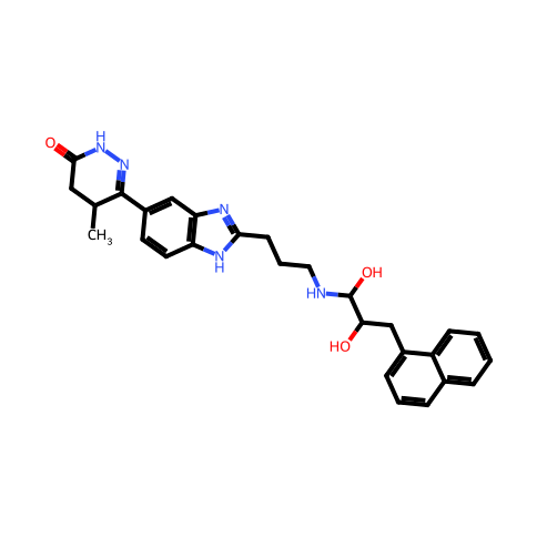 CC1CC(=O)NN=C1c1ccc2[nH]c(CCCNC(O)C(O)Cc3cccc4ccccc34)nc2c1